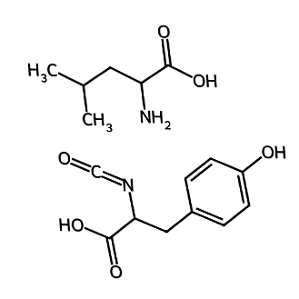 CC(C)CC(N)C(=O)O.O=C=NC(Cc1ccc(O)cc1)C(=O)O